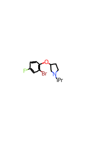 CC(C)N1CCC(Oc2ccc(F)cc2Br)C1